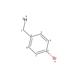 [2H]Cc1ccc(Br)cc1